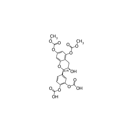 COC(=O)Oc1cc(OC(=O)OC)c2c(c1)O[C@H](c1ccc(OC(=O)O)c(OC(=O)O)c1)[C@H](O)C2